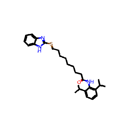 CC(C)c1cccc(C(C)C)c1NC(=O)CCCCCCCCSc1nc2ccccc2[nH]1